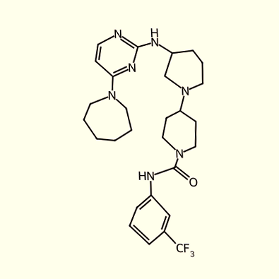 O=C(Nc1cccc(C(F)(F)F)c1)N1CCC(N2CCCC(Nc3nccc(N4CCCCCC4)n3)C2)CC1